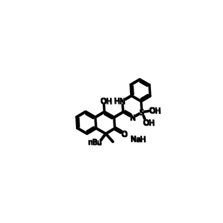 CCCCC1(C)C(=O)C(C2=NS(O)(O)c3ccccc3N2)=C(O)c2ccccc21.[NaH]